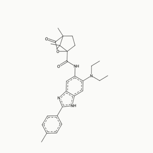 CCN(CC)c1cc2[nH]c(-c3ccc(C)cc3)nc2cc1NC(=O)C12CCC(C)(C(=O)O1)C2(C)C